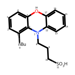 CCCCc1cccc2c1N(CCCS(=O)(=O)O)c1ccccc1O2